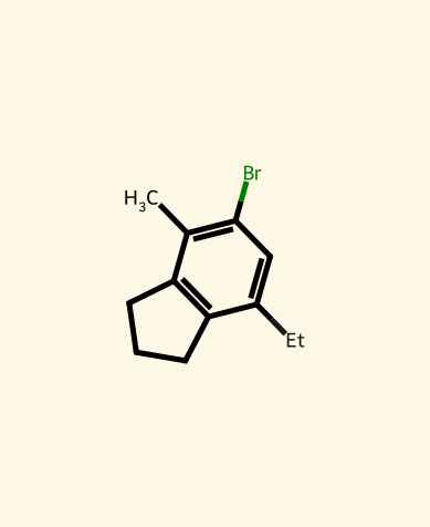 [CH2]Cc1cc(Br)c(C)c2c1CCC2